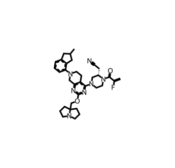 C=C(F)C(=O)N1CCN(c2nc(OCC34CCCN3CCC4)nc3c2CCN(c2cccc4c2CC(C)C4)C3)C[C@@H]1CC#N